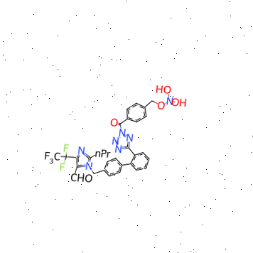 CCCc1nc(C(F)(F)C(F)(F)F)c(C=O)n1Cc1ccc(-c2ccccc2-c2nnn(C(=O)c3ccc(CON(O)O)cc3)n2)cc1